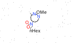 CCCCCCC1CN(c2cccnc(OC)nc(C)cc2)C(=O)O1